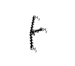 CCCCCCCCCCCCN(CCCCCCCCCCCC)C(=O)OCCOCCOC